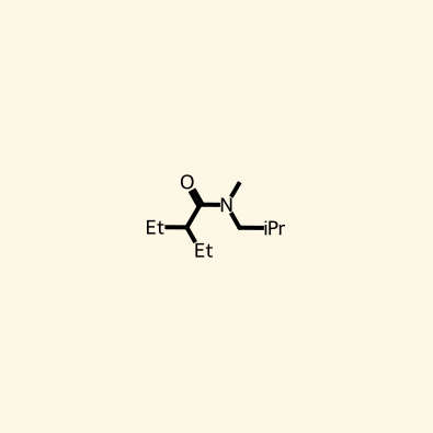 CCC(CC)C(=O)N(C)CC(C)C